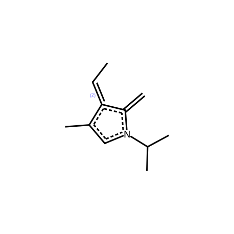 C=c1/c(=C\C)c(C)cn1C(C)C